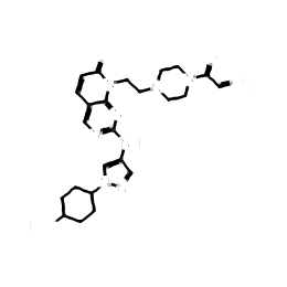 C=CC(=O)N1CCN(CCn2c(=O)ccc3cnc(Nc4cnn(C5CCC(C)CC5)c4)nc32)CC1